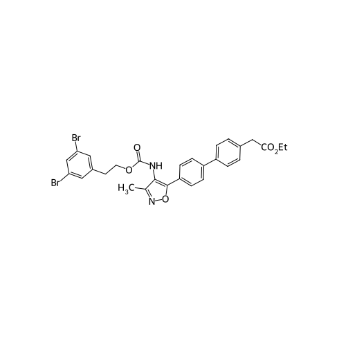 CCOC(=O)Cc1ccc(-c2ccc(-c3onc(C)c3NC(=O)OCCc3cc(Br)cc(Br)c3)cc2)cc1